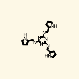 C(=Nc1nc(N=Cc2ccc[nH]2)nc(N=Cc2ccc[nH]2)n1)c1ccc[nH]1